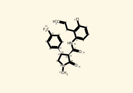 C=CCc1c(Cl)cccc1NC(=O)[C@H]1C(=O)N(C)C[C@@H]1c1ccc(C(F)(F)F)cc1